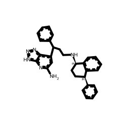 Nc1cc(C(CCN[C@@H]2CC[C@H](c3ccccc3)c3ccccc32)c2ccccc2)c2nn[nH]c2n1